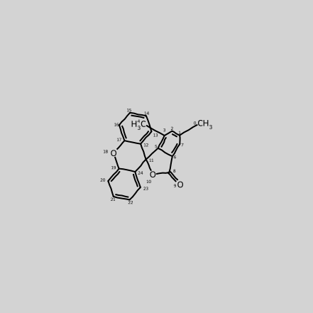 Cc1cc(C)c2c(c1)C(=O)OC21c2ccccc2Oc2ccccc21